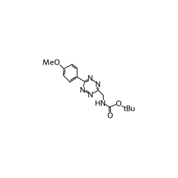 COc1ccc(-c2nnc(CNC(=O)OC(C)(C)C)nn2)cc1